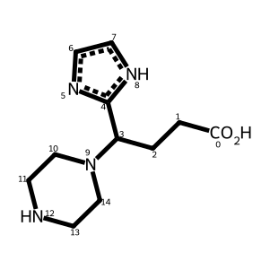 O=C(O)CCC(c1ncc[nH]1)N1CCNCC1